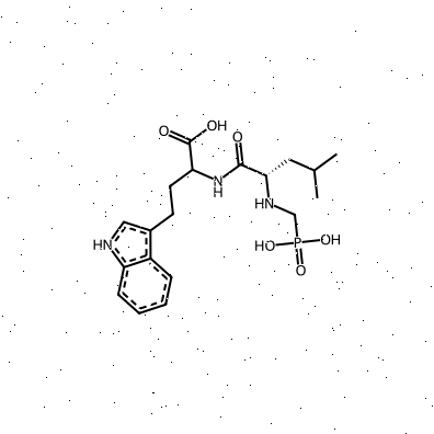 CC(C)C[C@H](NCP(=O)(O)O)C(=O)NC(CCc1c[nH]c2ccccc12)C(=O)O